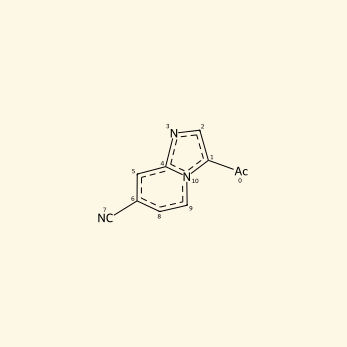 CC(=O)c1cnc2cc(C#N)ccn12